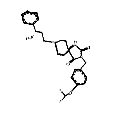 N[C@@H](CCN1CCC2(CC1)NC(=O)N(Cc1ccc(OC(F)F)cc1)C2=O)c1ccccc1